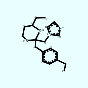 CCc1ccc(CC2(Cn3ccnc3)SCCC(CC)S2)cc1